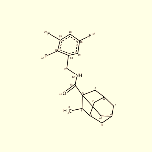 CC1C2CC3CC(C2)CC1(C(=O)NCc1cc(F)cc(F)c1F)C3